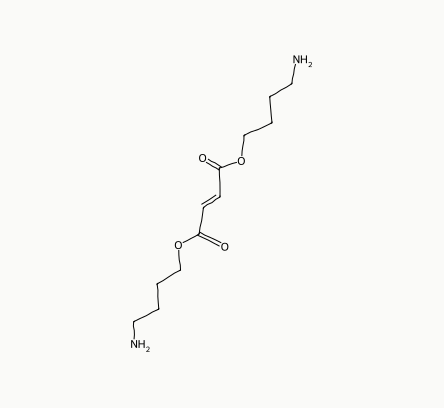 NCCCCOC(=O)/C=C/C(=O)OCCCCN